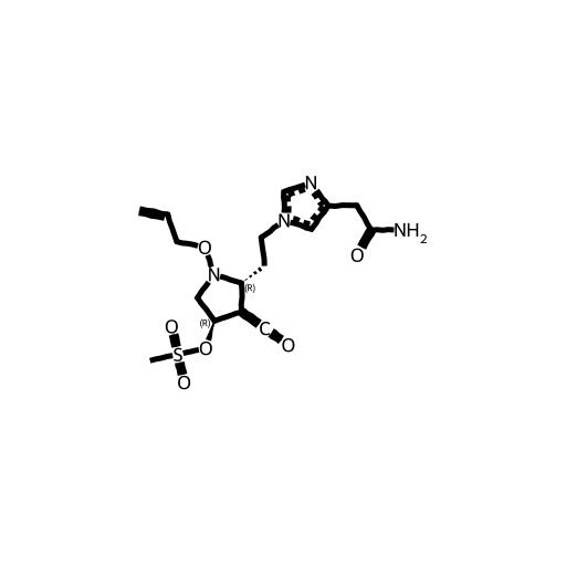 C=CCON1C[C@H](OS(C)(=O)=O)C(=C=O)[C@H]1CCn1cnc(CC(N)=O)c1